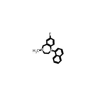 CN1CCN(c2cccc3ccccc23)c2ccc(F)cc2C1